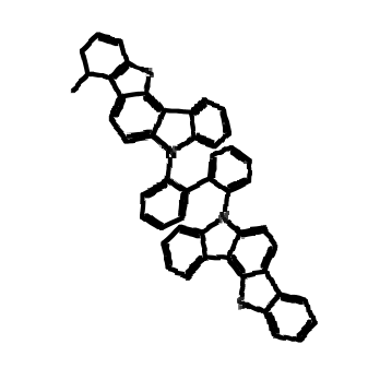 CC1CC=Cc2sc3c(ccc4c3c3ccccc3n4-c3ccccc3-c3ccccc3-n3c4ccccc4c4c5sc6ccccc6c5ccc43)c21